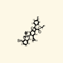 CCOC(=O)c1c(-c2ccc(F)cc2)oc2cc(N(Cc3cccc(Br)c3)[SH](=O)=O)c(C3CC3)cc12